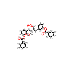 O=C(Oc1cccc(CC(CO)C(CO)Cc2cccc(OC(=O)c3ccccc3)c2)c1)c1ccccc1